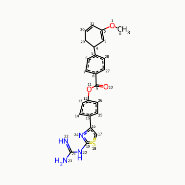 COC1=CC(c2ccc(C(=O)Oc3ccc(-c4csc(NC(=N)N)n4)cc3)cc2)CC=C1